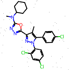 Cc1c(-c2nnc(N(C)C3CCCCC3)o2)nn(-c2ccc(Cl)cc2Cl)c1-c1ccc(Cl)cc1